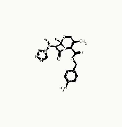 CC(=O)N(C1C(=O)N2C(C(=O)OCc3ccc([N+](=O)[O-])cc3)=C(C)CS[C@@H]12)n1cnnn1